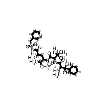 CNC(C(=O)NC(C(=O)N(C)C(/C=C(\C)C(=O)NS(=O)(=O)Cc1cccnc1)C(C)C)C(C)(C)C)C(C)(C)c1ccccc1